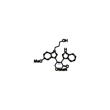 CNC(=O)/C(=C(\CO)c1cn(CCCO)c2ccc(OC)cc12)c1c[nH]c2ccccc12